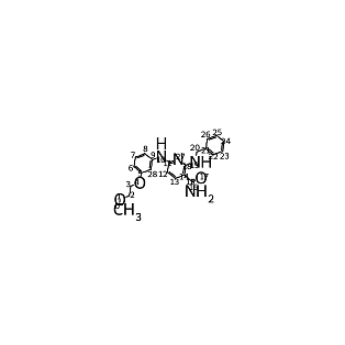 COCCOc1cccc(Nc2ccc(C(N)=O)c(NCc3ccccc3)n2)c1